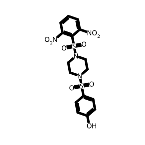 O=[N+]([O-])c1cccc([N+](=O)[O-])c1S(=O)(=O)N1CCN(S(=O)(=O)c2ccc(O)cc2)CC1